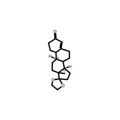 CC12CC[C@@H]3C4CCC(=O)C=C4CCC3[C@@H]1CCC21OCCO1